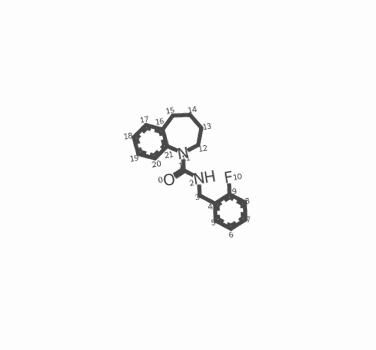 O=C(NCc1ccccc1F)N1CCCCc2ccccc21